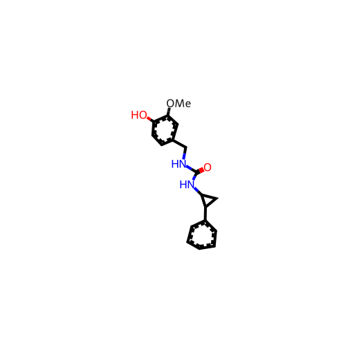 COc1cc(CNC(=O)NC2CC2c2ccccc2)ccc1O